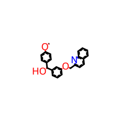 COc1ccc(C(O)c2cccc(OCc3ccc4ccccc4n3)c2)cc1